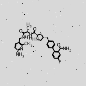 Cc1nc(N)ccc1CNC(=O)[C@H](C)NC(=O)[C@H]1C[C@H](Cc2ccc(-c3ccc(F)cc3C(N)=O)cc2)CN1